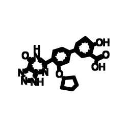 O=C(O)c1cc(-c2ccc(-c3nc4[nH]nnc4c(=O)[nH]3)c(OC3CCCC3)c2)ccc1O